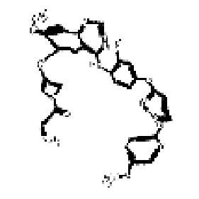 C=CC(=O)N1CC(Oc2cc3c(Nc4ccc(Oc5ccn(-c6cnc(OC)cn6)n5)cc4F)ncnc3cc2OC)C1